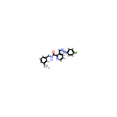 O=C(NCc1cccc(C(F)(F)F)c1)c1nccc2c1cnn2-c1ccc(F)cc1